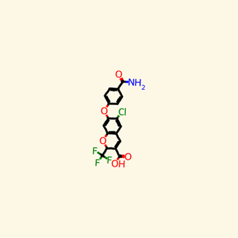 NC(=O)c1ccc(Oc2cc3c(cc2Cl)C=C(C(=O)O)C(C(F)(F)F)O3)cc1